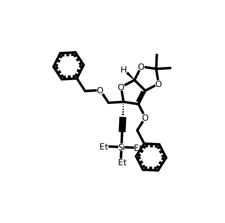 CC[Si](C#C[C@]1(COCc2ccccc2)O[C@@H]2OC(C)(C)OC2=C1OCc1ccccc1)(CC)CC